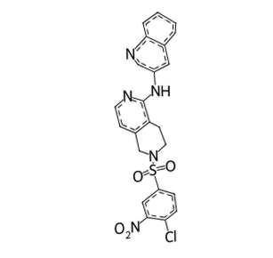 O=[N+]([O-])c1cc(S(=O)(=O)N2CCc3c(ccnc3Nc3cnc4ccccc4c3)C2)ccc1Cl